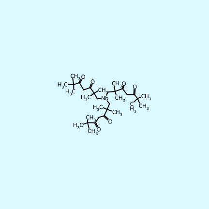 CC(C)(C)C(=O)CC(=O)C(C)(C)[CH2][Nb]([CH2]C(C)(C)C(=O)CC(=O)C(C)(C)C)[CH2]C(C)(C)C(=O)CC(=O)C(C)(C)C